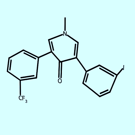 Cn1cc(-c2cccc(I)c2)c(=O)c(-c2cccc(C(F)(F)F)c2)c1